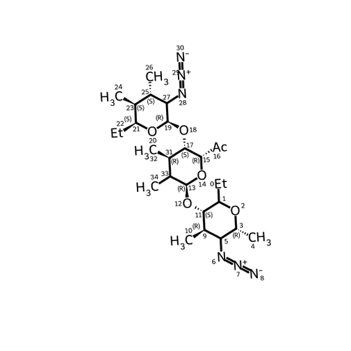 CCC1O[C@H](C)C(N=[N+]=[N-])[C@@H](C)[C@@H]1O[C@@H]1O[C@@H](C(C)=O)[C@@H](O[C@H]2O[C@@H](CC)[C@@H](C)[C@H](C)C2N=[N+]=[N-])[C@H](C)C1C